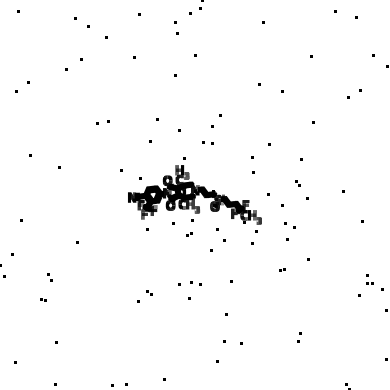 CC(F)(F)CCC[S+]([O-])CCCN1C[C@@]2(C)O[C@@](C)(C1)C1C(=O)N(c3ccc(C#N)c(C(F)(F)F)c3)C(=O)C12